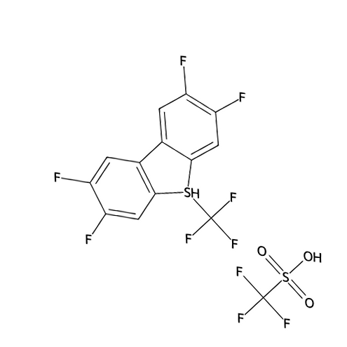 Fc1cc2c(cc1F)[SH](C(F)(F)F)c1cc(F)c(F)cc1-2.O=S(=O)(O)C(F)(F)F